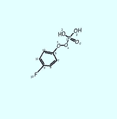 O=P(O)(O)OOc1ccc(F)cc1